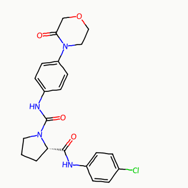 O=C(Nc1ccc(Cl)cc1)[C@@H]1CCCN1C(=O)Nc1ccc(N2CCOCC2=O)cc1